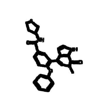 Cn1cc(-c2cc(C(=O)NC3CCSC3)ccc2Oc2ccccc2)c2cc[nH]c2c1=O